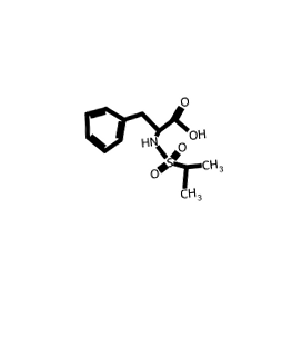 CC(C)S(=O)(=O)NC(Cc1ccccc1)C(=O)O